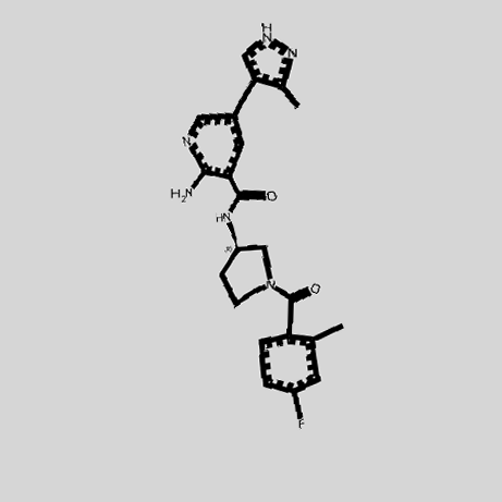 Cc1cc(F)ccc1C(=O)N1CC[C@@H](NC(=O)c2cc(-c3c[nH]nc3C)cnc2N)C1